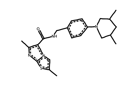 Cc1cn2c(C(=O)NCc3ccc(N4CC(C)CC(C)C4)cc3)c(C)nc2s1